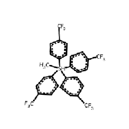 C[SH](c1ccc(C(F)(F)F)cc1)(c1ccc(C(F)(F)F)cc1)(c1ccc(C(F)(F)F)cc1)c1ccc(C(F)(F)F)cc1